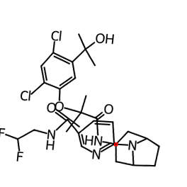 CC(C)(Oc1cc(C(C)(C)O)c(Cl)cc1Cl)C(=O)NC1CC2CCC(C1)N2c1ccc(C(=O)NCC(F)F)cn1